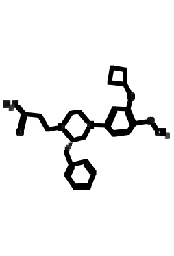 COc1ccc(N2CCN(CCC(N)=O)[C@@H](Cc3ccccc3)C2)cc1OC1CCC1